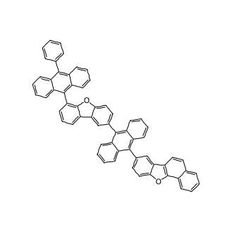 c1ccc(-c2c3ccccc3c(-c3cccc4c3oc3ccc(-c5c6ccccc6c(-c6ccc7oc8c9ccccc9ccc8c7c6)c6ccccc56)cc34)c3ccccc23)cc1